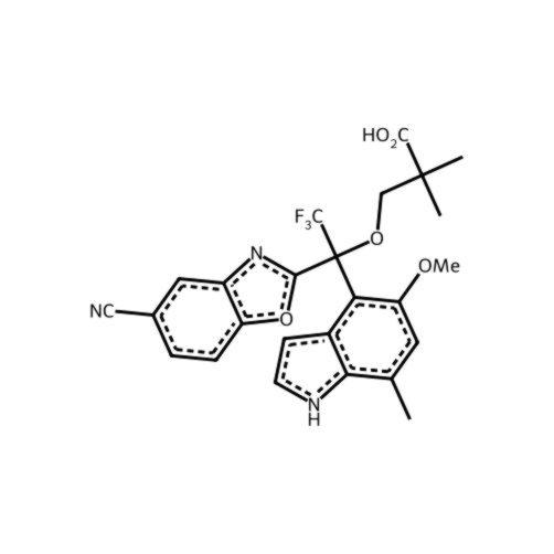 COc1cc(C)c2[nH]ccc2c1C(OCC(C)(C)C(=O)O)(c1nc2cc(C#N)ccc2o1)C(F)(F)F